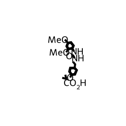 COc1ccc(NC(=O)NCCc2ccc(OC(C)(C)C(=O)O)cc2)c(OC)c1